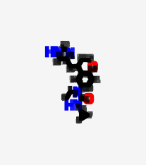 CCN(C(=O)NC1CC1)c1ccc2c(c1)C(Cc1c[nH]cn1)CCO2